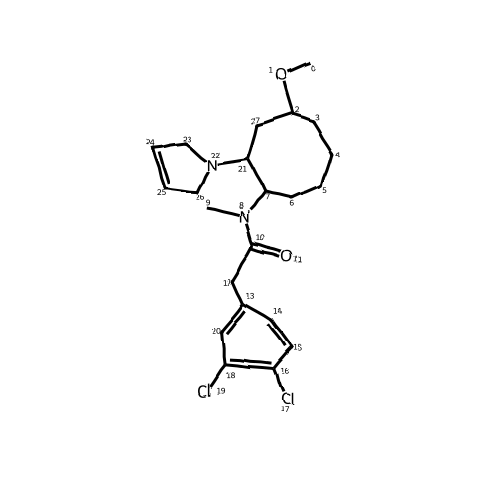 COC1CCCCC(N(C)C(=O)Cc2ccc(Cl)c(Cl)c2)C(N2CC=CC2)C1